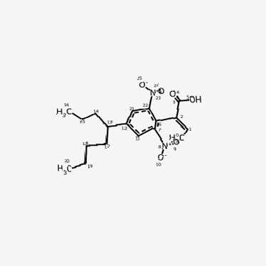 C/C=C(/C(=O)O)c1c([N+](=O)[O-])cc(C(CCC)CCCC)cc1[N+](=O)[O-]